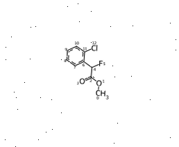 COC(=O)C(F)c1ccccc1Cl